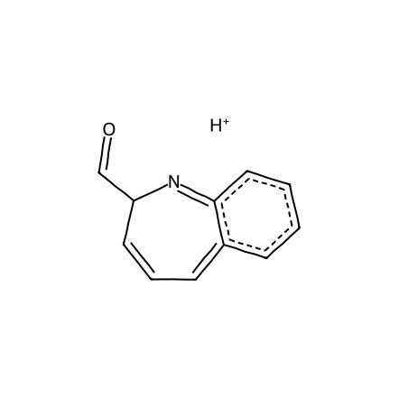 O=CC1C=CC=c2ccccc2=N1.[H+]